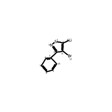 [Li][c]1snc(-c2ccccc2)c1Br